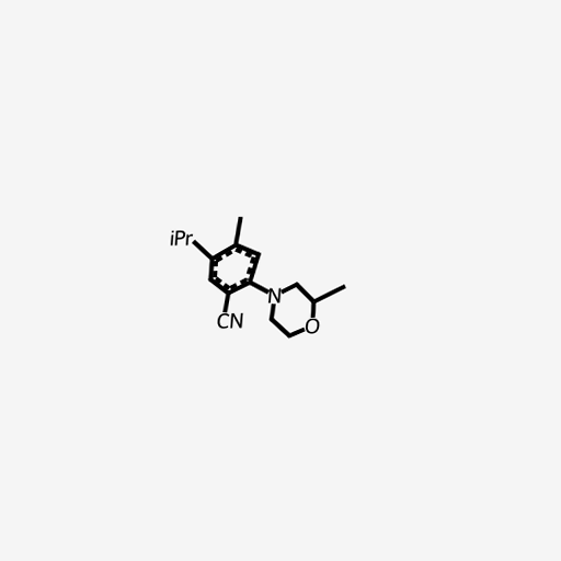 Cc1cc(N2CCOC(C)C2)c(C#N)cc1C(C)C